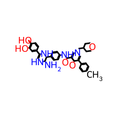 Cc1ccc(-c2cn(CC3CCOCC3)cc(C(=O)Nc3ccc(C4NC(c5ccc(O)c(O)c5)=CNC4N)cc3)c2=O)cc1